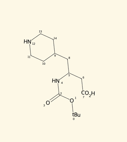 CC(C)(C)OC(=O)NC(CC(=O)O)CC1CCNCC1